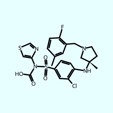 Cc1ccc(F)c(CN2CC[C@](C)(Nc3ccc(S(=O)(=O)N(C(=O)O)c4cscn4)cc3Cl)C2)c1